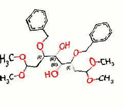 COC(C[C@@H](OCc1ccccc1)[C@H](O)[C@@H](O)[C@@H](CC(OC)OC)OCc1ccccc1)OC